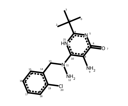 CC(C)(C)c1nc(=O)c(N)c(N(N)Cc2ccccc2Cl)[nH]1